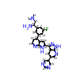 CN(C)CC(N)c1cc(F)cc(-c2ccnc3[nH]c(-c4n[nH]c5ncc(-c6cncnc6)cc45)cc23)c1